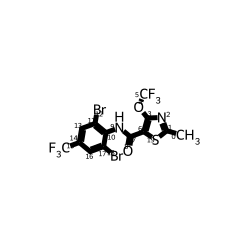 Cc1nc(OC(F)(F)F)c(C(=O)Nc2c(Br)cc(C(F)(F)F)cc2Br)s1